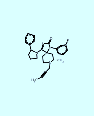 CC#CCN1CC[C@@]2(C[C@@H]1C)C(N1CCCC1c1ccccc1)=NC(=O)N2c1cccc(F)c1